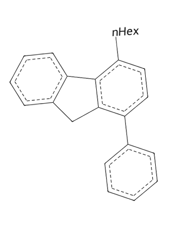 CCCCCCc1ccc(-c2ccccc2)c2c1-c1ccccc1C2